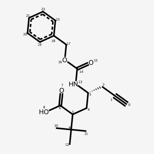 C#CC[C@H](CC(C(=O)O)C(C)(C)C)NC(=O)OCc1ccccc1